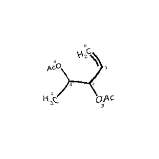 C=CC(OC(C)=O)C(C)OC(C)=O